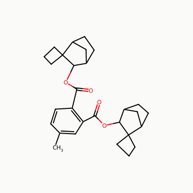 Cc1ccc(C(=O)OC2C3CCC(C3)C23CCC3)c(C(=O)OC2C3CCC(C3)C23CCC3)c1